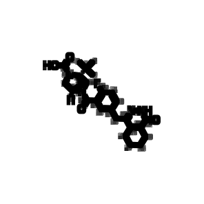 CC(C)(C)[C@]12C[C@@H](CN1C(=O)O)N(C(=O)c1cc(Cc3n[nH]c(=O)c4c3CCCC4)ccc1F)C2